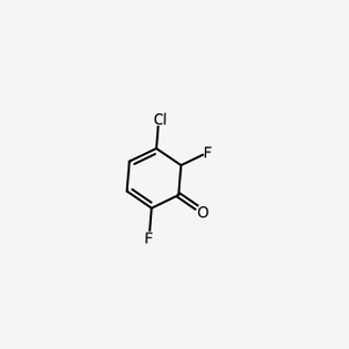 O=C1C(F)=CC=C(Cl)C1F